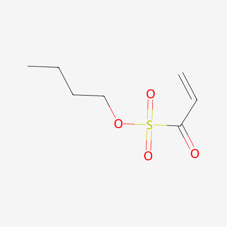 C=CC(=O)S(=O)(=O)OCCCC